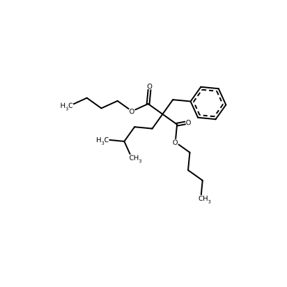 CCCCOC(=O)C(CCC(C)C)(Cc1ccccc1)C(=O)OCCCC